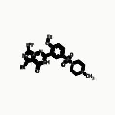 CCCc1nc(CC)c2c(=O)[nH]c(-c3cc(S(=O)(=O)N4CCN(C)CC4)ccc3OCC)nn12